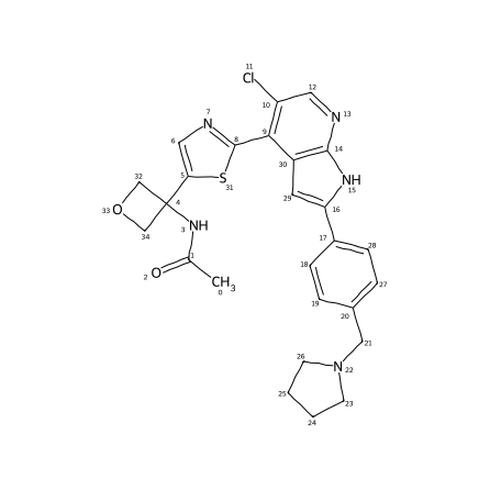 CC(=O)NC1(c2cnc(-c3c(Cl)cnc4[nH]c(-c5ccc(CN6CCCC6)cc5)cc34)s2)COC1